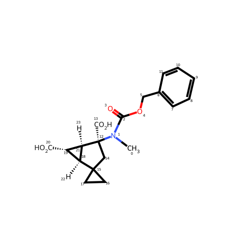 CN(C(=O)OCc1ccccc1)[C@@]1(C(=O)O)CC2(CC2)[C@H]2[C@H](C(=O)O)[C@H]21